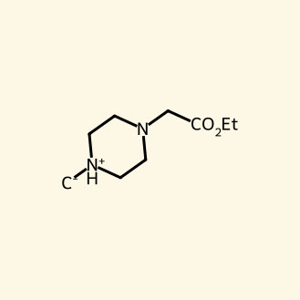 [CH2-][NH+]1CCN(CC(=O)OCC)CC1